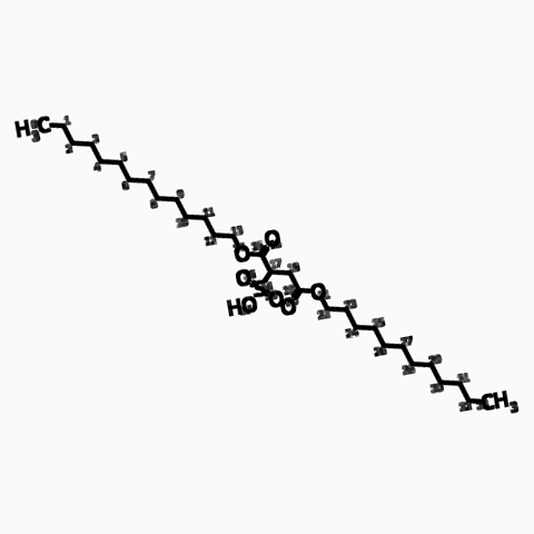 CCCCCCCCCCCCCCOC(=O)C(CC(=O)OCCCCCCCCCCCC)S(=O)(=O)O